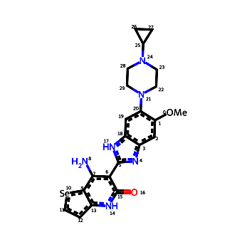 COc1cc2nc(-c3c(N)c4[se]ccc4[nH]c3=O)[nH]c2cc1N1CCN(C2CC2)CC1